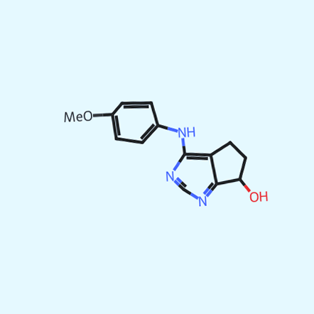 COc1ccc(Nc2ncnc3c2CCC3O)cc1